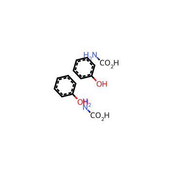 NC(=O)O.NC(=O)O.Oc1ccccc1.Oc1ccccc1